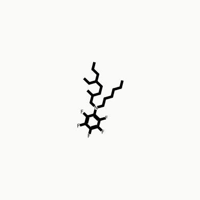 CCCCCCN(CC(C)CCC(CC)CCC)c1c(F)c(F)c(F)c(F)c1F